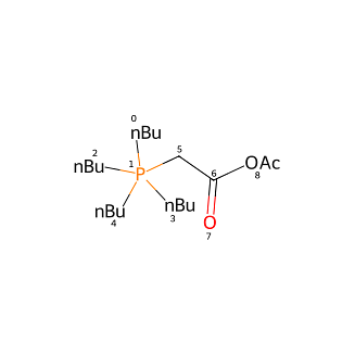 CCCCP(CCCC)(CCCC)(CCCC)CC(=O)OC(C)=O